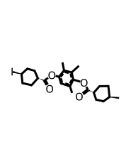 Cc1cc(OC(=O)[C@H]2CC[C@H](I)CC2)c(C)c(C)c1OC(=O)[C@H]1CC[C@H](C)CC1